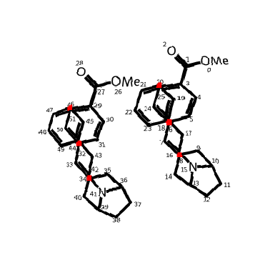 COC(=O)c1ccc(C=C2CC3CCC(C2)N3CCc2ccccc2)cc1.COC(=O)c1ccc(C=C2CC3CCC(C2)N3CCc2ccccc2)cc1